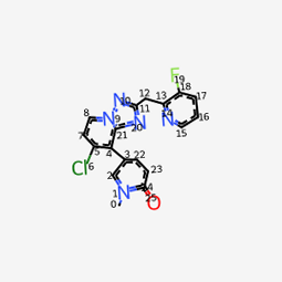 Cn1cc(-c2c(Cl)ccn3nc(Cc4ncccc4F)nc23)ccc1=O